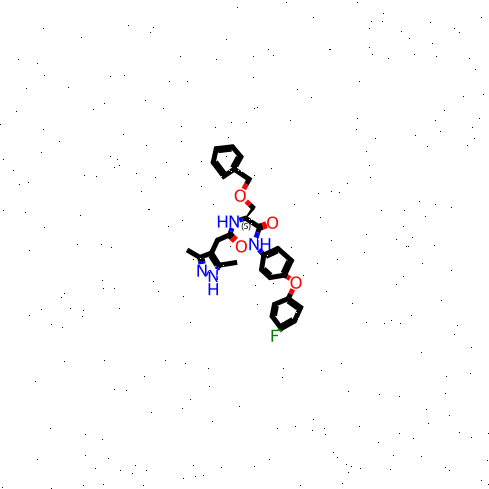 Cc1n[nH]c(C)c1CC(=O)N[C@@H](COCc1ccccc1)C(=O)Nc1ccc(Oc2ccc(F)cc2)cc1